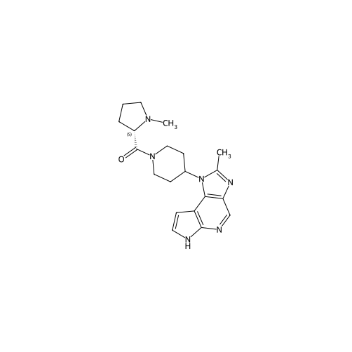 Cc1nc2cnc3[nH]ccc3c2n1C1CCN(C(=O)[C@@H]2CCCN2C)CC1